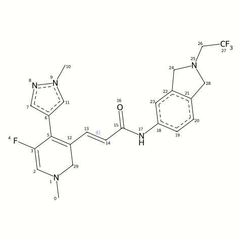 CN1C=C(F)C(c2cnn(C)c2)=C(/C=C/C(=O)Nc2ccc3c(c2)CN(CC(F)(F)F)C3)C1